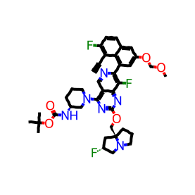 C#Cc1c(F)ccc2cc(OCOC)cc(-c3ncc4c(N5CCC[C@H](NC(=O)OC(C)(C)C)C5)nc(OC[C@@]56CCCN5C[C@H](F)C6)nc4c3F)c12